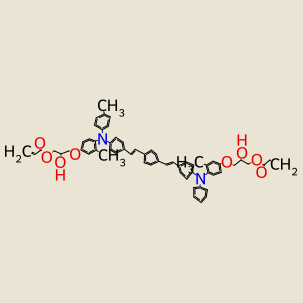 C=CC(=O)OCC(O)COc1ccc(N(c2ccccc2)c2ccc(/C=C/c3ccc(/C=C/c4ccc(N(c5ccc(C)cc5)c5ccc(OCC(O)COC(=O)C=C)cc5C)cc4)cc3)cc2)c(C)c1